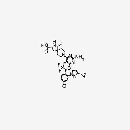 CCC1NC(C(=O)O)CC12CCN(c1cc(O[C@H](c3ccc(Cl)cc3-n3ccc(C4CC4)n3)C(F)(F)F)nc(N)n1)CC2